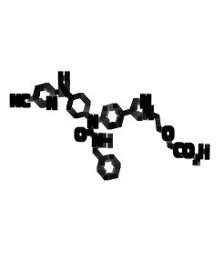 N#Cc1ccc(NC2CCC(N(C(=O)NCc3ccccc3)c3ccc(-c4cnn(CCOCC(=O)O)c4)cc3)CC2)nc1